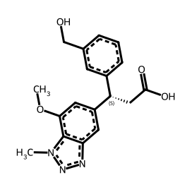 COc1cc([C@@H](CC(=O)O)c2cccc(CO)c2)cc2nnn(C)c12